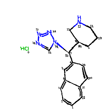 Cl.c1ccc2cc([C@H]([C@@H]3CCCNC3)n3cnnn3)ccc2c1